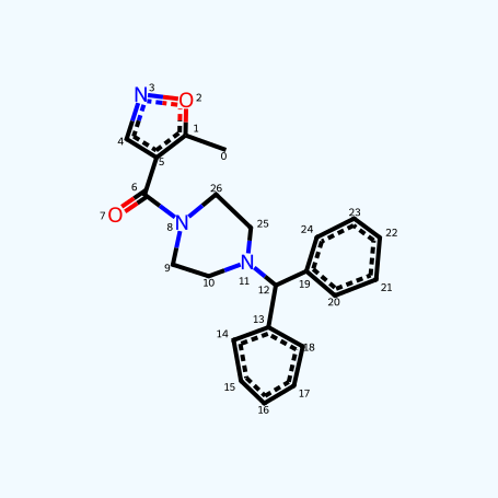 Cc1oncc1C(=O)N1CCN(C(c2ccccc2)c2ccccc2)CC1